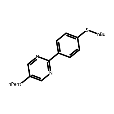 CCCCCc1cnc(-c2ccc(SCCCC)cc2)nc1